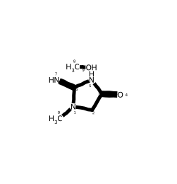 CN1CC(=O)NC1=N.CO